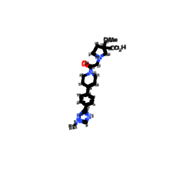 CCn1cnc(-c2ccc(C3=CCN(C(=O)CN4CCC(OC)(C(=O)O)C4)CC3)cc2)n1